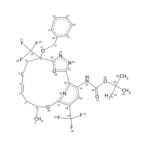 CC1CC=CCCC(OCc2ccccc2)(C(F)(F)F)c2nnc(o2)-c2nc(c(C(F)(F)F)cc2NC(=O)OC(C)(C)C)O1